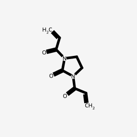 C=CC(=O)N1CCN(C(=O)C=C)C1=O